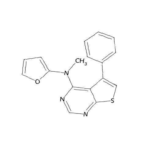 CN(c1ccco1)c1ncnc2scc(-c3ccccc3)c12